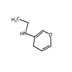 CCNC1=[C]OC=CC1